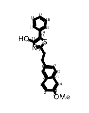 COc1ccc2cc(CCc3nc(O)c(-c4ccccc4)s3)ccc2c1